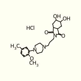 COc1ccc(C)cc1N1CCN(CCCN2C(=O)C3CC(O)C(O)CC3C2=O)CC1.Cl